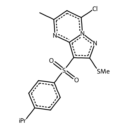 CSc1nn2c(Cl)cc(C)nc2c1S(=O)(=O)c1ccc(C(C)C)cc1